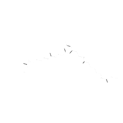 CC(C)(C)OC(=O)NCCCCCC(=O)NCCc1cc(CCNC(=O)CCCCCNC(=O)OC(C)(C)C)cc(C(=O)O)c1